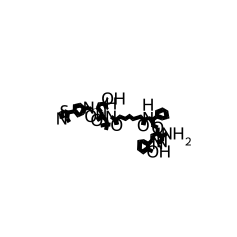 Cc1ncsc1-c1ccc(N(C)C(=O)[C@@H]2C[C@@H](O)CN2C(=O)[C@@H](NC(=O)CCCCCC(=O)NC(COc2cc(-c3ccccc3O)nnc2N)c2ccccc2)C(C)(C)C)cc1